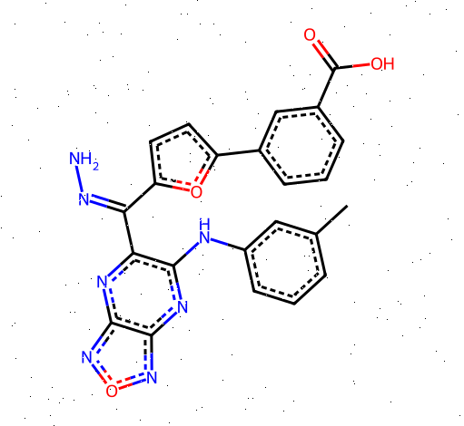 Cc1cccc(Nc2nc3nonc3nc2C(=NN)c2ccc(-c3cccc(C(=O)O)c3)o2)c1